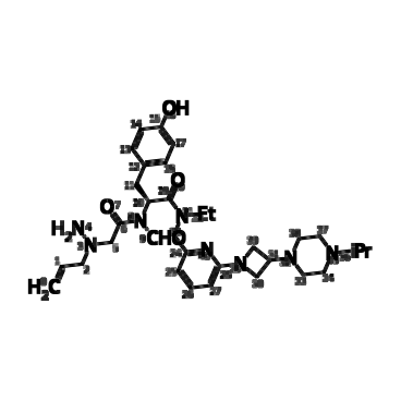 C=CCN(N)CC(=O)N(C=O)[C@@H](Cc1ccc(O)cc1)C(=O)N(CC)Cc1cccc(N2CC(N3CCN(C(C)C)CC3)C2)n1